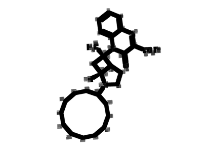 CCOC(=O)c1nc2ccccc2n([C@@]2(C)C[C@@H]3C2CCN3C2CCCCCCCCCCC2)c1=O